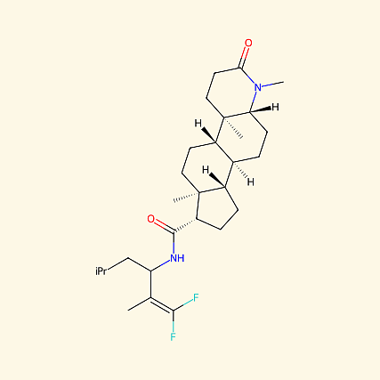 CC(=C(F)F)C(CC(C)C)NC(=O)[C@H]1CC[C@H]2[C@@H]3CC[C@H]4N(C)C(=O)CC[C@]4(C)[C@H]3CC[C@]12C